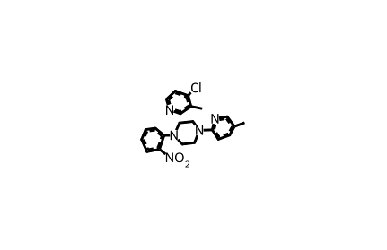 Cc1ccc(N2CCN(c3ccccc3[N+](=O)[O-])CC2)nc1.Cc1cnccc1Cl